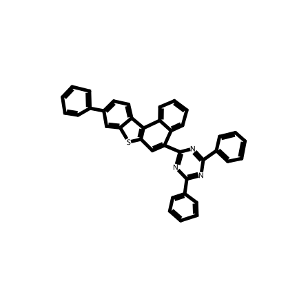 c1ccc(-c2ccc3c(c2)sc2cc(-c4nc(-c5ccccc5)nc(-c5ccccc5)n4)c4ccccc4c23)cc1